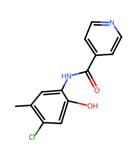 Cc1cc(NC(=O)c2ccncc2)c(O)cc1Cl